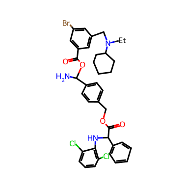 CCN(Cc1cc(Br)cc(C(=O)OC(N)c2ccc(COC(=O)C(Nc3c(Cl)cccc3Cl)c3ccccc3)cc2)c1)C1CCCCC1